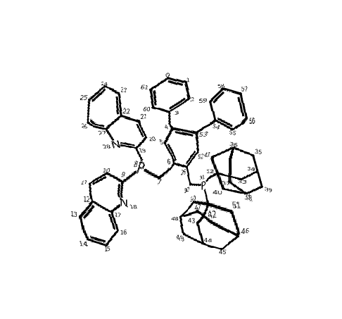 c1ccc(-c2cc(CP(c3ccc4ccccc4n3)c3ccc4ccccc4n3)c(CP(C34CC5CC(CC(C5)C3)C4)C34CC5CC(CC(C5)C3)C4)cc2-c2ccccc2)cc1